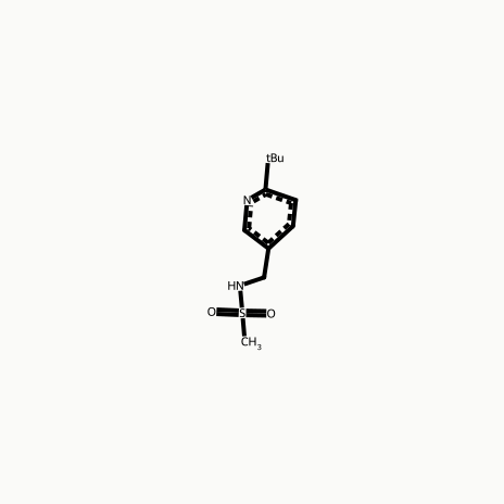 CC(C)(C)c1ccc(CNS(C)(=O)=O)cn1